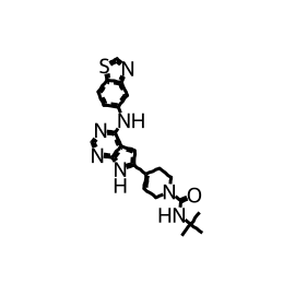 CC(C)(C)NC(=O)N1CC=C(c2cc3c(Nc4ccc5scnc5c4)ncnc3[nH]2)CC1